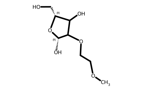 COCCOC1C(O)[C@@H](CO)O[C@H]1O